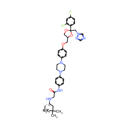 CC[C@@H](CC(C)(C)C)NCC(=O)Nc1ccc(N2CCN(c3ccc(OCC4COC(Cn5cncn5)(c5ccc(F)cc5F)O4)cc3)CC2)cc1